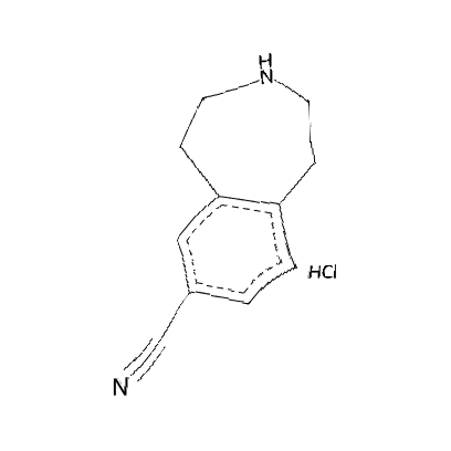 Cl.N#Cc1ccc2c(c1)CCNCC2